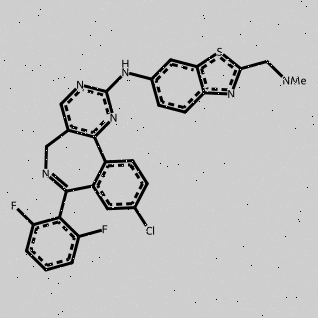 CNCc1nc2ccc(Nc3ncc4c(n3)-c3ccc(Cl)cc3C(c3c(F)cccc3F)=NC4)cc2s1